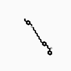 C=Cc1ccc(COCCCCCCCCCCc2ccc(C=CC(=O)c3ccccc3)cc2)cc1